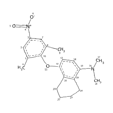 Cc1cc([N+](=O)[O-])cc(C)c1Oc1ccc(N(C)C)c2c1CCCC2